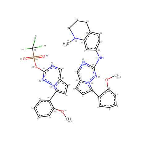 COc1ccccc1-c1ccc2cnc(Nc3ccc4c(c3)N(C)CCC4)nn12.COc1ccccc1-c1ccc2cnc(OS(=O)(=O)C(F)(F)F)nn12